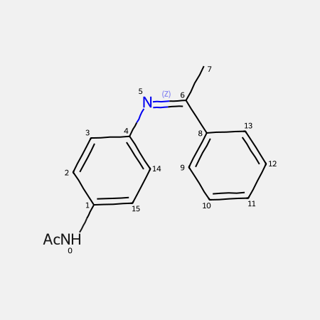 CC(=O)Nc1ccc(/N=C(/C)c2ccccc2)cc1